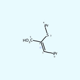 CC(C)/C=C(\SC(C)C)C(=O)O